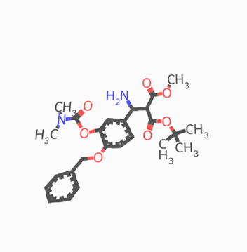 COC(=O)C(C(=O)OC(C)(C)C)C(N)c1ccc(OCc2ccccc2)c(OC(=O)N(C)C)c1